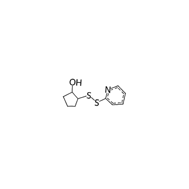 OC1CCCC1SSc1ccccn1